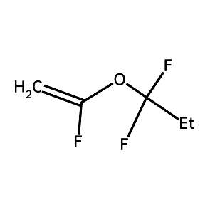 C=C(F)OC(F)(F)CC